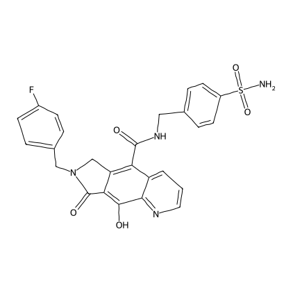 NS(=O)(=O)c1ccc(CNC(=O)c2c3c(c(O)c4ncccc24)C(=O)N(Cc2ccc(F)cc2)C3)cc1